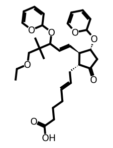 CCOCC(C)(C)C(/C=C/[C@H]1[C@H](OC2C=CC=CO2)CC(=O)[C@@H]1CC=CCCCC(=O)O)OC1C=CC=CO1